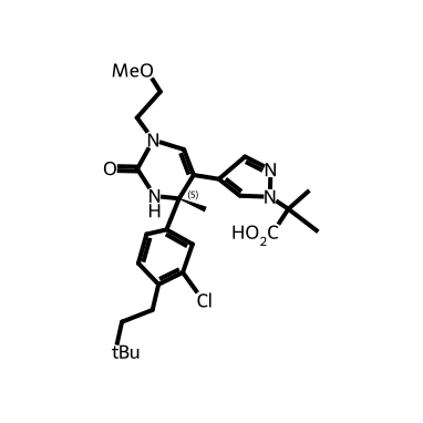 COCCN1C=C(c2cnn(C(C)(C)C(=O)O)c2)[C@](C)(c2ccc(CCC(C)(C)C)c(Cl)c2)NC1=O